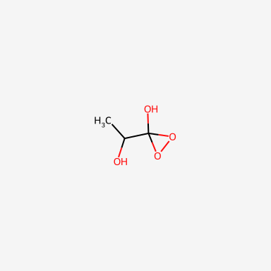 CC(O)C1(O)OO1